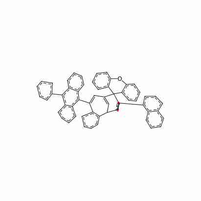 C1=C(c2c3ccccc3c(-c3ccccc3)c3ccccc23)c2ccccc2C2C=C1C1(c3ccccc3Oc3ccccc31)c1cc(-c3cccc4ccccc34)ccc12